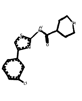 O=C(Nc1nc(-c2cccc(Cl)c2)cs1)C1CCNCC1